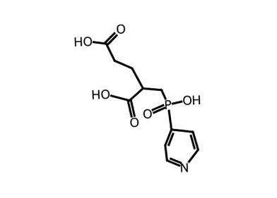 O=C(O)CCC(CP(=O)(O)c1ccncc1)C(=O)O